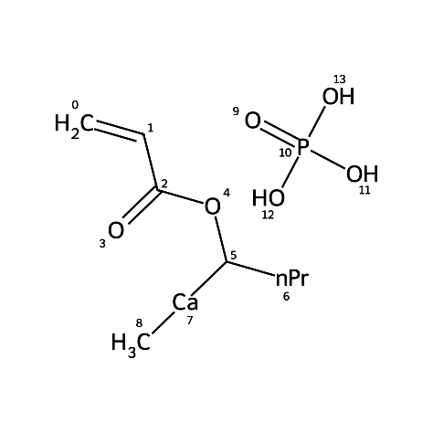 C=CC(=O)O[CH](CCC)[Ca][CH3].O=P(O)(O)O